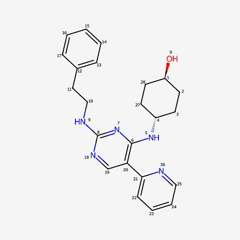 O[C@H]1CC[C@H](Nc2nc(NCCc3ccccc3)ncc2-c2ccccn2)CC1